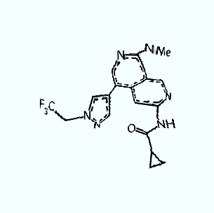 CNc1ncc(-c2cnn(CC(F)(F)F)c2)c2cc(NC(=O)C3CC3)ncc12